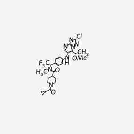 CO[C@@H](C)c1c(Nc2ccc([C@H](N(C)C(=O)C3CCN(C(=O)C4CC4)CC3)C(F)(F)F)cc2)cnc2nc(Cl)nn12